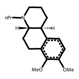 CCCN1CCC[C@H]2c3ccc(OC)c(OC)c3CC[C@@H]21